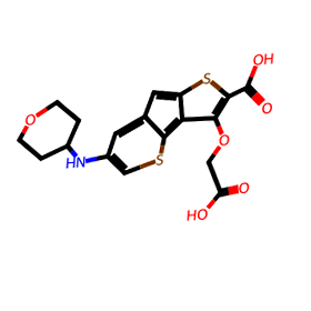 O=C(O)COc1c(C(=O)O)sc2cc3cc(NC4CCOCC4)csc-3c12